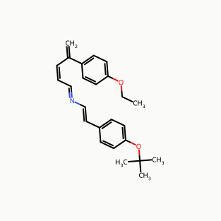 C=C(\C=C/C=N/C=C/c1ccc(OC(C)(C)C)cc1)c1ccc(OCC)cc1